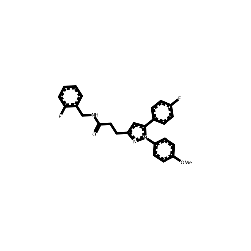 COc1ccc(-n2nc(CCC(=O)NCc3ccccc3F)cc2-c2ccc(F)cc2)cc1